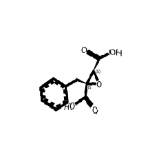 O=C(O)[C@H]1O[C@]1(Cc1ccccc1)C(=O)O